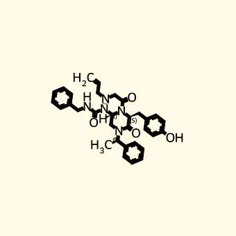 C=CCN1CC(=O)N2[C@@H](CN([C@H](C)c3ccccc3)C(=O)[C@@H]2Cc2ccc(O)cc2)N1C(=O)NCc1ccccc1